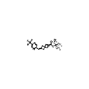 CC(C)(C)OC(=O)N1CC2(CC(=Cc3cnc(C(F)(F)F)cn3)C2)C1